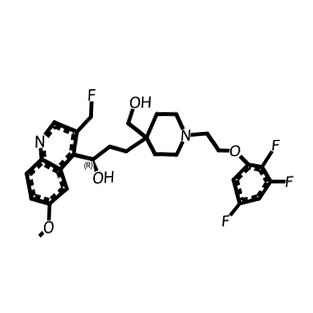 COc1ccc2ncc(CF)c([C@H](O)CCC3(CO)CCN(CCOc4cc(F)cc(F)c4F)CC3)c2c1